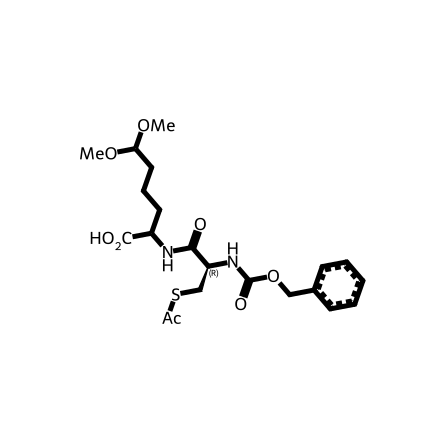 COC(CCCC(NC(=O)[C@H](CSC(C)=O)NC(=O)OCc1ccccc1)C(=O)O)OC